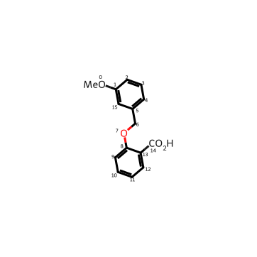 COc1cccc(COc2ccccc2C(=O)O)c1